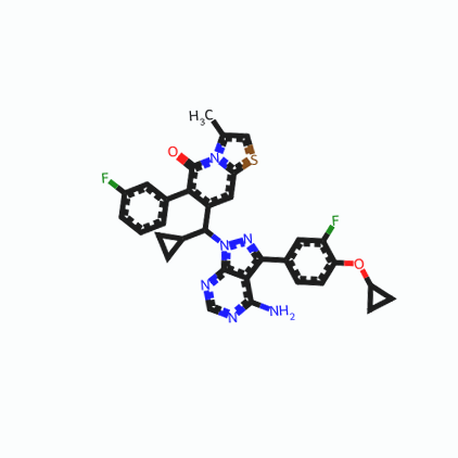 Cc1csc2cc(C(C3CC3)n3nc(-c4ccc(OC5CC5)c(F)c4)c4c(N)ncnc43)c(-c3cccc(F)c3)c(=O)n12